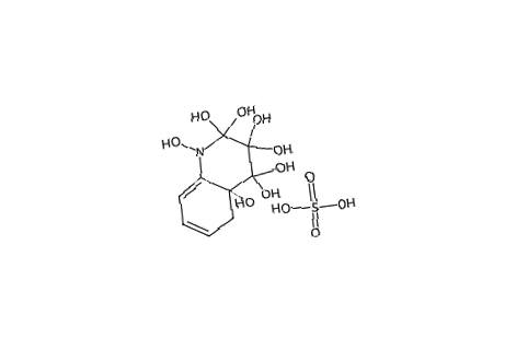 O=S(=O)(O)O.ON1C2=CC=CCC2(O)C(O)(O)C(O)(O)C1(O)O